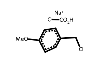 COc1ccc(CCl)cc1.O=C([O-])O.[Na+]